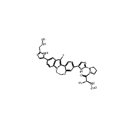 CCCNCc1ncc(-c2ccc3c(c2)c(F)c2n3CCOc3cc(-c4cnc([C@H]5CCCN5C(=O)[C@@H](NC=O)C(C)C)[nH]4)ccc3-2)[nH]1